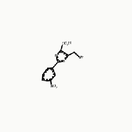 CCOC(=O)c1nc(-c2cccc([N+](=O)[O-])c2)sc1CC(C)C